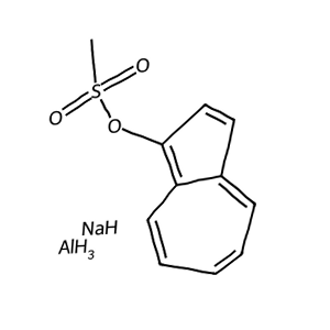 CS(=O)(=O)Oc1ccc2cccccc1-2.[AlH3].[NaH]